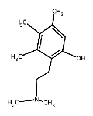 Cc1cc(O)c(CCN(C)C)c(C)c1C